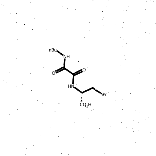 CCCCNC(=O)C(=O)N[C@H](CC(C)C)C(=O)O